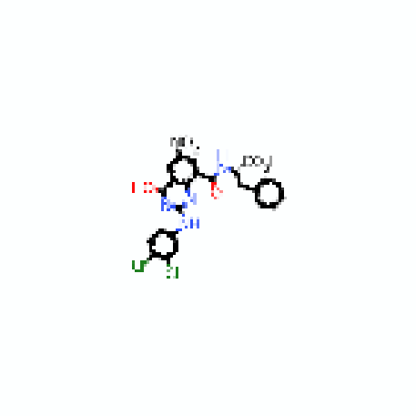 O=C(N[C@@H](Cc1ccccc1)C(=O)O)c1cc([N+](=O)[O-])cc2c(O)nc(Nc3ccc(Cl)c(Cl)c3)nc12